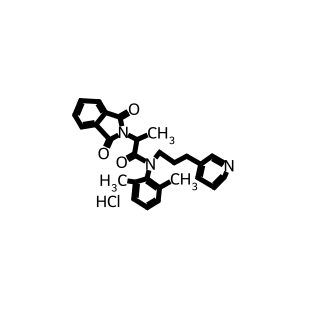 Cc1cccc(C)c1N(CCCc1cccnc1)C(=O)C(C)N1C(=O)c2ccccc2C1=O.Cl